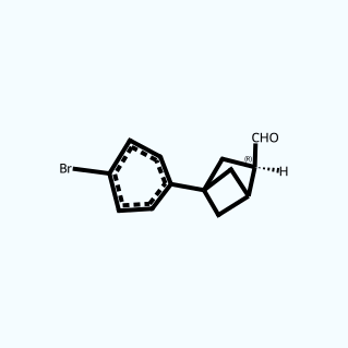 O=C[C@@H]1CC2(c3ccc(Br)cc3)CC1C2